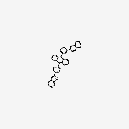 c1cc(-c2ccc3ccccc3c2)cc(-c2c3ccccc3c(-c3ccc(-c4cc5ccccc5o4)cc3)c3ccccc23)c1